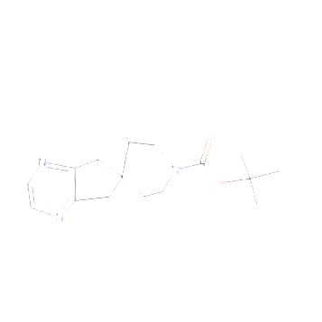 CC(C)(C)OC(=O)N1CCC2(CC1)Cc1nccnc1C2